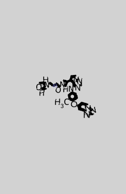 Cc1cc(Nc2ncnn3ccc(C4CN(C(=O)/C=C/CN5C[C@@H]6C[C@H]5CO6)C4)c23)ccc1Oc1ccn2ncnc2c1